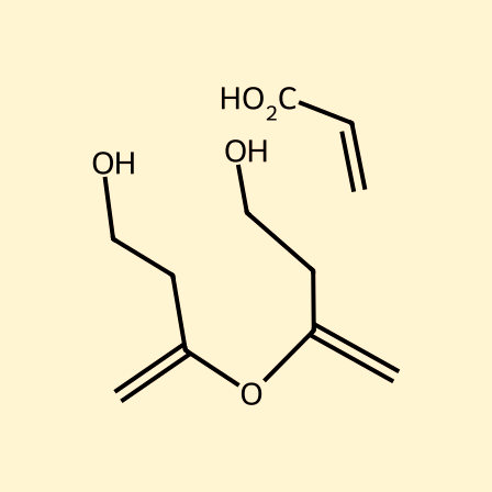 C=C(CCO)OC(=C)CCO.C=CC(=O)O